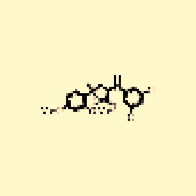 COc1ccc(C2(C)CC(Nc3cc(Cl)cc(Cl)c3)C(=O)O2)c(OC)c1